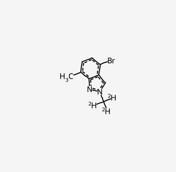 [2H]C([2H])([2H])n1cc2c(Br)ccc(C)c2n1